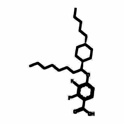 CCCCCCCC(Oc1ccc(C(=O)O)c(F)c1F)[C@H]1CC[C@H](CCCCC)CC1